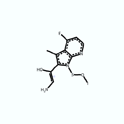 Cc1c(/C(O)=C/N)n(SOI)c2nccc(F)c12